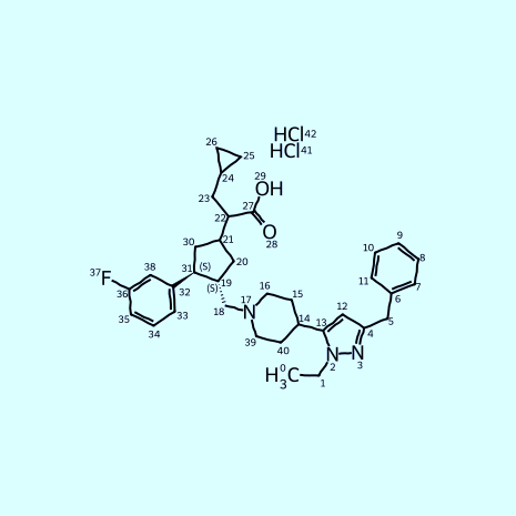 CCn1nc(Cc2ccccc2)cc1C1CCN(C[C@H]2CC(C(CC3CC3)C(=O)O)C[C@@H]2c2cccc(F)c2)CC1.Cl.Cl